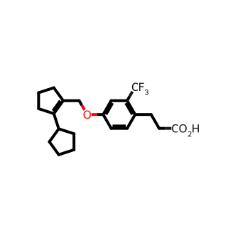 O=C(O)CCc1ccc(OCC2=C(C3CCCC3)CCC2)cc1C(F)(F)F